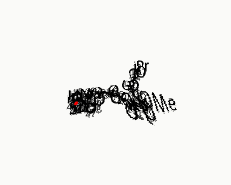 CCC(C)(CC(C)(CC(C)(C)C(=O)OCCOC(=O)C(C)C)C(=O)OC)C(=O)OCCOC(=O)CCC(=O)O[C@H]1CN[C@H](C(O[Si](C)(C)C)(c2ccccc2)c2ccccc2)C1